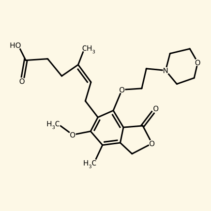 COc1c(C)c2c(c(OCCN3CCOCC3)c1CC=C(C)CCC(=O)O)C(=O)OC2